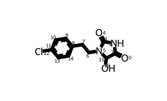 O=C1NC(=O)N(CCc2ccc(Cl)cc2)C1O